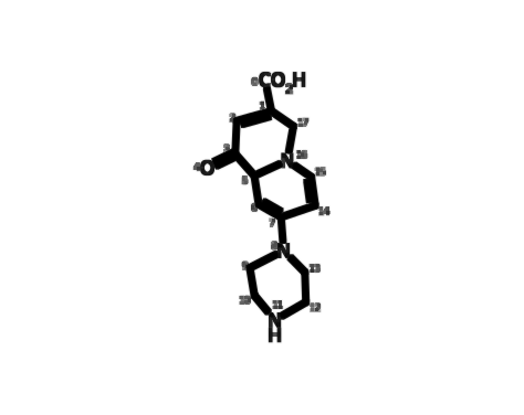 O=C(O)C1=CC(=O)C2C=C(N3CCNCC3)C=CN2C1